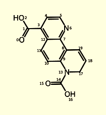 O=C(O)c1ccnc2c3c(ccc12)N(C(=O)O)CC=C3